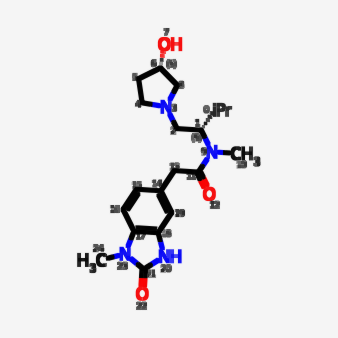 CC(C)[C@@H](CN1CC[C@H](O)C1)N(C)C(=O)Cc1ccc2c(c1)[nH]c(=O)n2C